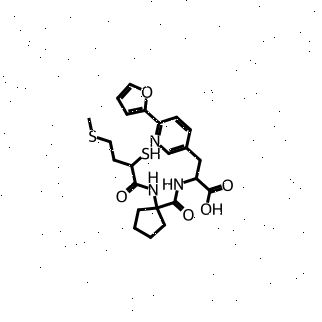 CSCCC(S)C(=O)NC1(C(=O)NC(Cc2ccc(-c3ccco3)nc2)C(=O)O)CCCC1